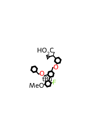 COc1ccc(F)c(-c2ccc(COc3cccc([C@H](CC(=O)O)C4CC4)c3)cc2[C@H](OCc2ccccc2)C(C)(C)C)c1